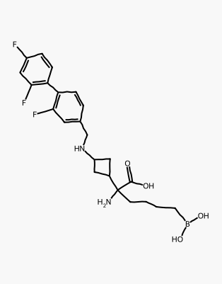 NC(CCCCB(O)O)(C(=O)O)C1CC(NCc2ccc(-c3ccc(F)cc3F)c(F)c2)C1